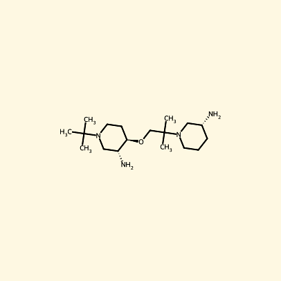 CC(C)(C)N1CC[C@@H](OCC(C)(C)N2CCC[C@@H](N)C2)[C@H](N)C1